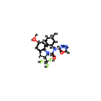 COc1ccc2c(c1)CC(C(F)(F)F)N2C(=O)N(c1cccc(C)c1)c1nnco1